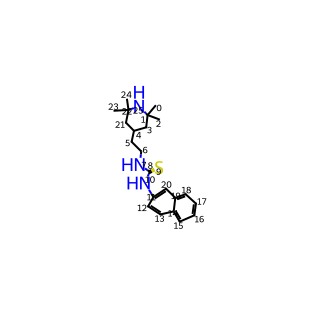 CC1(C)CC(CCNC(=S)Nc2ccc3ccccc3c2)CC(C)(C)N1